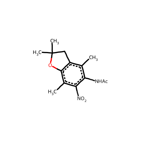 CC(=O)Nc1c(C)c2c(c(C)c1[N+](=O)[O-])OC(C)(C)C2